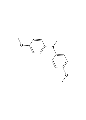 COc1ccc(N(I)c2ccc(OC)cc2)cc1